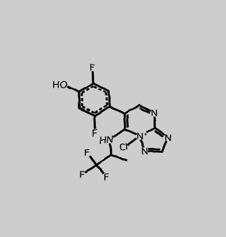 CC(NC1=C(c2cc(F)c(O)cc2F)C=NC2=NC=N[N+]21Cl)C(F)(F)F